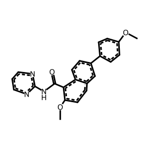 COc1ccc(-c2ccc3c(C(=O)Nc4ncccn4)c(OC)ccc3c2)cc1